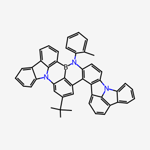 Cc1ccccc1N1B2c3c(cc(C(C)(C)C)cc3-n3c4ccccc4c4cccc2c43)-c2c1ccc1c2c2cccc3c4ccccc4n1c32